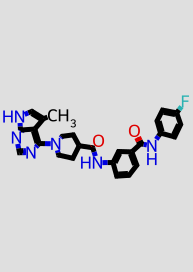 Cc1c[nH]c2ncnc(N3CCC(C(=O)Nc4cccc(C(=O)Nc5ccc(F)cc5)c4)CC3)c12